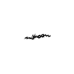 CCCCCC1CCC(C2CCC(COc3cc4c(c(F)c3F)OC(CCCCC)CC4)CC2)CC1